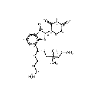 CC(C)(CCN)CCN(CCCCN)c1cccc2c1CN(C1CCC(=O)NC1=O)C2=O